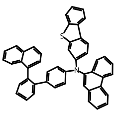 c1ccc(-c2cccc3ccccc23)c(-c2ccc(N(c3ccc4c(c3)sc3ccccc34)c3cc4ccccc4c4ccccc34)cc2)c1